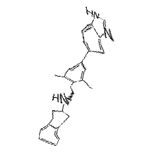 Cc1cc(-c2ccc3[nH]cnc3c2)cc(C)c1CNC1Cc2ccccc2C1